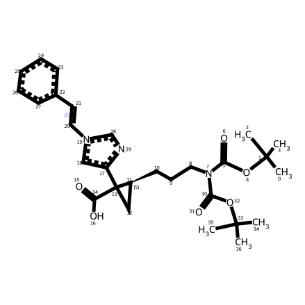 CC(C)(C)OC(=O)N(CCC[C@H]1CC1(C(=O)O)c1cn(/C=C/c2ccccc2)cn1)C(=O)OC(C)(C)C